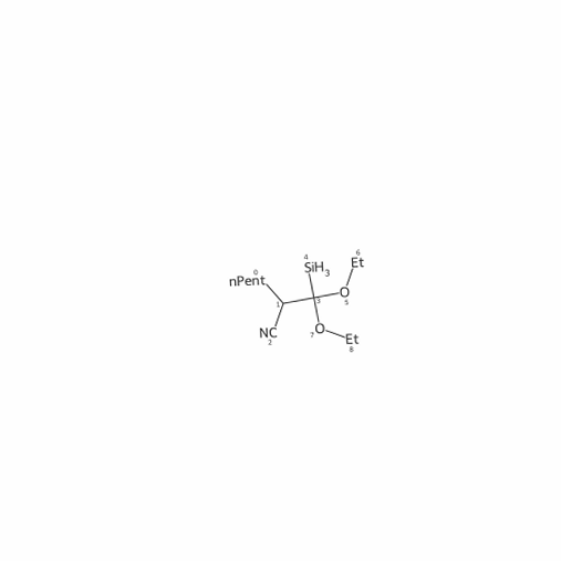 CCCCCC(C#N)C([SiH3])(OCC)OCC